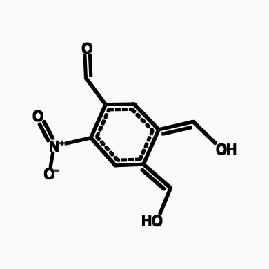 O=Cc1cc(=CO)c(=CO)cc1[N+](=O)[O-]